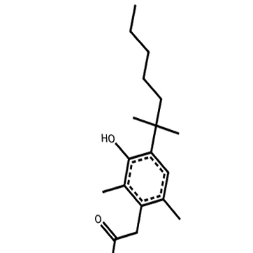 CCCCCC(C)(C)c1cc(C)c(CC(=O)O)c(C)c1O